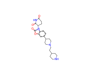 O=C1CCC(n2c(=O)oc3cc(C4CCN(CCC5CCNCC5)CC4)ccc32)C(=O)N1